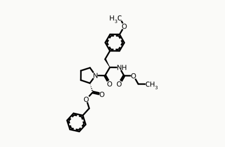 CCOC(=O)N[C@H](Cc1ccc(OC)cc1)C(=O)N1CCC[C@H]1C(=O)OCc1ccccc1